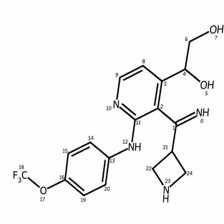 N=C(c1c(C(O)CO)ccnc1Nc1ccc(OC(F)(F)F)cc1)C1CNC1